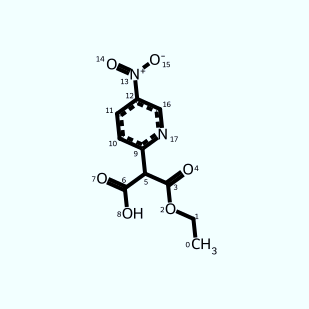 CCOC(=O)C(C(=O)O)c1ccc([N+](=O)[O-])cn1